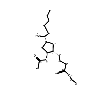 CCCCCC(O)[C@H]1C[C@@H](OC(C)=O)[C@@H](CCCC(=O)OCC)O1